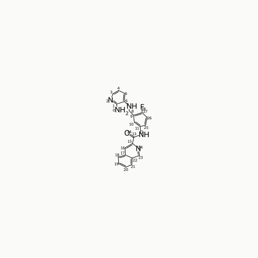 Nc1ncccc1NCc1cc(NC(=O)c2cc3ccccc3cn2)ccc1F